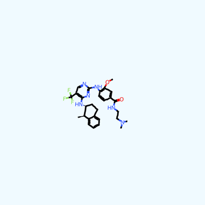 COc1cc(C(=O)NCCN(C)C)ccc1Nc1ncc(C(F)(F)F)c(N[C@@H]2CCc3ccccc3[C@H]2C)n1